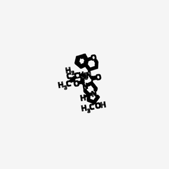 CC(C)(C)OC(=O)N1C[C@H]2C[C@@](C)(O)CN2C[C@H]1C(=O)N[C@@H]1CCOc2ccccc21